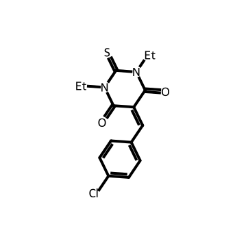 CCN1C(=O)C(=Cc2ccc(Cl)cc2)C(=O)N(CC)C1=S